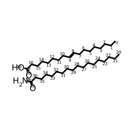 CCCCCCCCC=CCCCCCCCC(=O)O.CCCCCCCCCCCCCCCCCC(N)=O